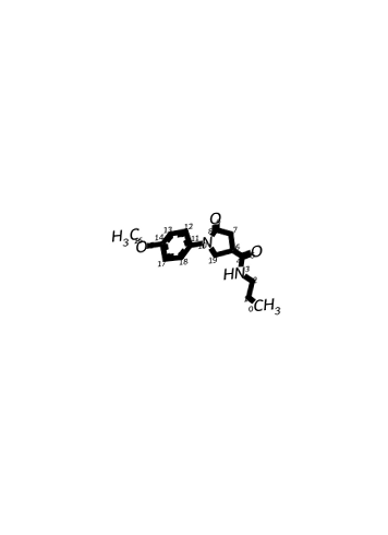 CCCNC(=O)C1CC(=O)N(c2ccc(OC)cc2)C1